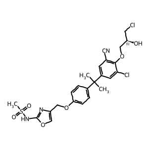 CC(C)(c1ccc(OCc2coc(NS(C)(=O)=O)n2)cc1)c1cc(Cl)c(OC[C@H](O)CCl)c(C#N)c1